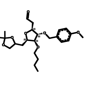 CCCCO[C@@H]1[C@@H](OCc2ccc(OC)cc2)[C@H](CC=O)O[C@@H]1CC1COC(C)(C)O1